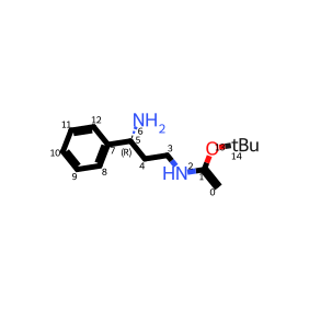 C=C(NCC[C@@H](N)c1ccccc1)OC(C)(C)C